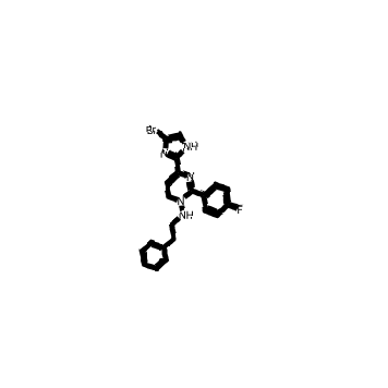 Fc1ccc(C2=NC(c3nc(Br)c[nH]3)=CCN2NCCc2ccccc2)cc1